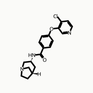 O=C(N[C@@H]1C[C@@H]2CCN(C2)C1)c1ccc(Oc2cnccc2Cl)cc1